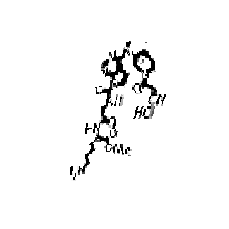 COC(=O)[C@H](CCCCN)NC(=O)CNC(=O)n1ccc2c(N(C)[C@H]3CN(C(=O)CC#N)CC[C@H]3C)ncnc21.Cl